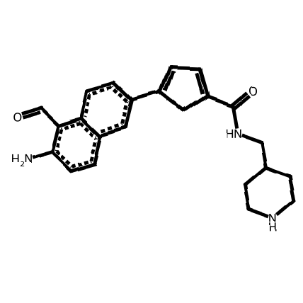 Nc1ccc2cc(C3=CC=C(C(=O)NCC4CCNCC4)C3)ccc2c1C=O